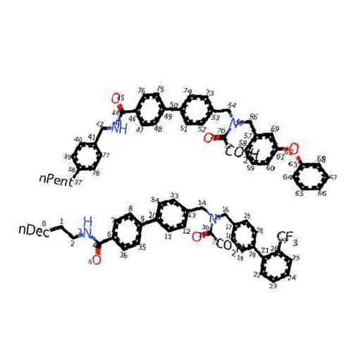 CCCCCCCCCCCCNC(=O)c1ccc(-c2ccc(CN(Cc3ccc(-c4ccccc4C(F)(F)F)cc3)C(=O)C(=O)O)cc2)cc1.CCCCCc1ccc(CNC(=O)c2ccc(-c3ccc(CN(Cc4cccc(Oc5ccccc5)c4)C(=O)C(=O)O)cc3)cc2)cc1